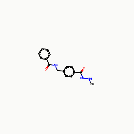 CCCCNNC(=O)c1ccc(CNC(=O)c2ccccc2)cc1